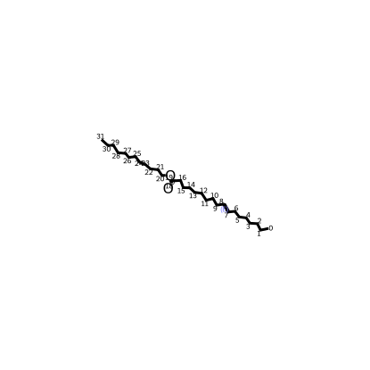 CCCCCCC/C=C/CCCCCCCCC(=O)OCCCCCCCCCCCC